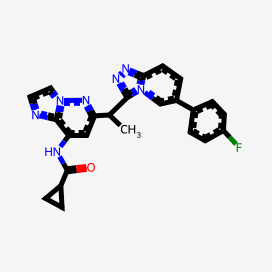 CC(c1cc(NC(=O)C2CC2)c2nccn2n1)c1nnc2ccc(-c3ccc(F)cc3)cn12